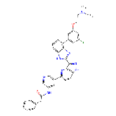 CN(C)CCOc1cc(F)cc(-c2cccc3[nH]c(-c4n[nH]c5ccc(-c6cncc(NC(=O)Cc7ccccc7)c6)nc45)nc23)c1